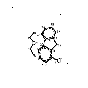 CCOCC.Clc1cccc2c1Cc1ccccc1-2